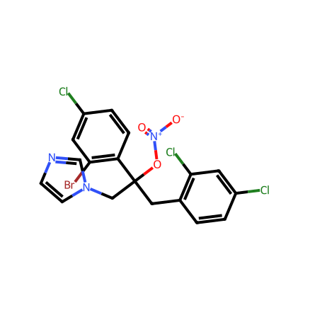 O=[N+]([O-])OC(Cc1ccc(Cl)cc1Cl)(Cn1ccnc1)c1ccc(Cl)cc1Br